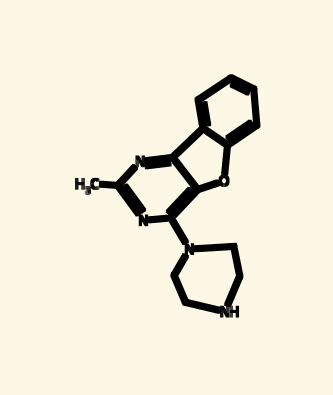 Cc1nc(N2CCNCC2)c2oc3ccccc3c2n1